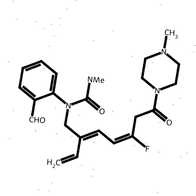 C=C/C(=C\C=C(\F)CC(=O)N1CCN(C)CC1)CN(C(=O)NC)c1ccccc1C=O